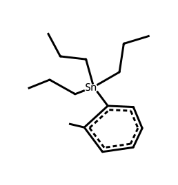 CC[CH2][Sn]([CH2]CC)([CH2]CC)[c]1ccccc1C